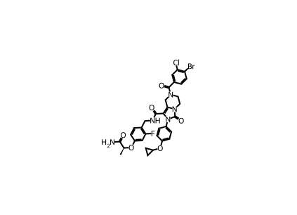 C[C@H](Oc1ccc(CNC(=O)c2c3n(c(=O)n2-c2ccc(OC4CC4)cc2)CCN(C(=O)c2ccc(Br)c(Cl)c2)C3)c(F)c1)C(N)=O